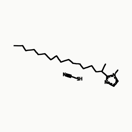 CCCCCCCCCCCCCCCC(C)c1nccn1C.N#CS